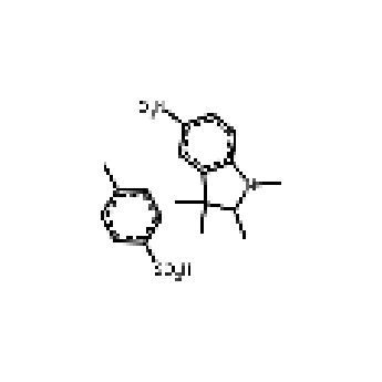 CC1N(C)c2ccc([N+](=O)[O-])cc2C1(C)C.Cc1ccc(S(=O)(=O)O)cc1